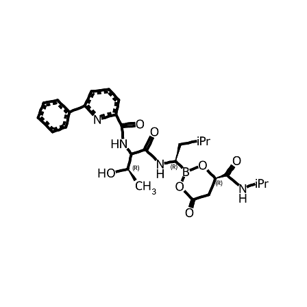 CC(C)C[C@H](NC(=O)C(NC(=O)c1cccc(-c2ccccc2)n1)[C@@H](C)O)B1OC(=O)C[C@H](C(=O)NC(C)C)O1